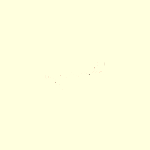 CCC(CCCCCCC(CC)C(=O)O)C(=O)O